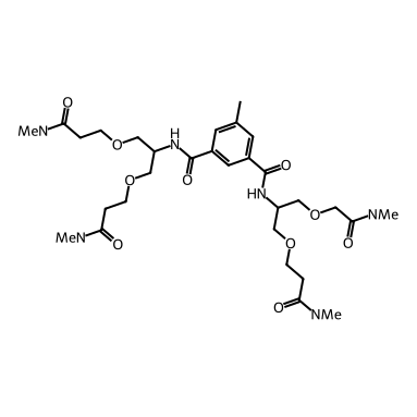 CNC(=O)CCOCC(COCCC(=O)NC)NC(=O)c1cc(C)cc(C(=O)NC(COCCC(=O)NC)COCC(=O)NC)c1